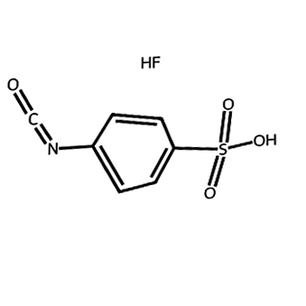 F.O=C=Nc1ccc(S(=O)(=O)O)cc1